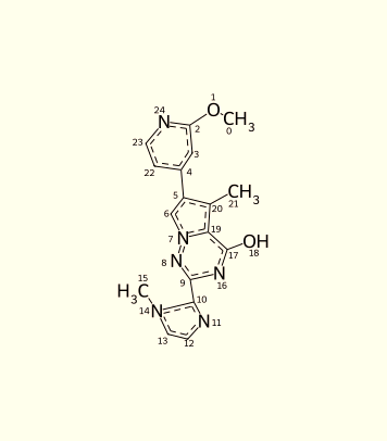 COc1cc(-c2cn3nc(-c4nccn4C)nc(O)c3c2C)ccn1